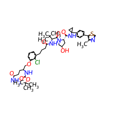 Cc1ncsc1-c1ccc(C2(NC(=O)[C@@H]3C[C@@H](O)CN3C(=O)C(NC(=O)CCCc3cccc(OCC(CCC(N)=O)NC(=O)OC(C)(C)C)c3Cl)C(C)(C)C)CC2)cc1